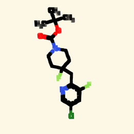 CC(C)(C)OC(=O)N1CCC(F)(Cc2ncc(Cl)cc2F)CC1